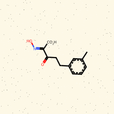 Cc1cccc(CCC(=O)/C(=N/O)C(=O)O)c1